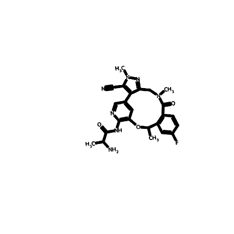 CC(N)C(=O)Nc1ncc2cc1OC(C)c1cc(F)ccc1C(=O)N(C)Cc1nn(C)c(C#N)c1-2